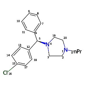 CCCN1CCN([C@H](c2ccccc2)c2ccc(Cl)cc2)CC1